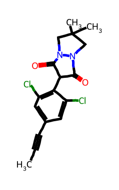 CC#Cc1cc(Cl)c(C2C(=O)N3CC(C)(C)CN3C2=O)c(Cl)c1